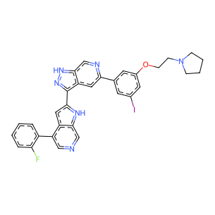 Fc1ccccc1-c1cncc2[nH]c(-c3n[nH]c4cnc(-c5cc(I)cc(OCCN6CCCC6)c5)cc34)cc12